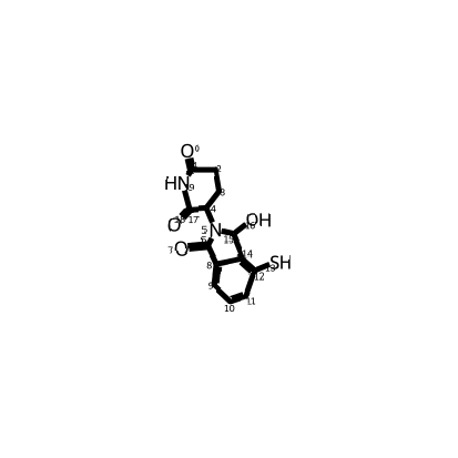 O=C1CCC(N2C(=O)c3cccc(S)c3C2O)C(=O)N1